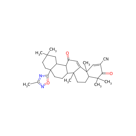 Cc1noc(C23CCC4C(C(=O)C=C5C6(C)C=C(C#N)C(=O)C(C)(C)C6CCC54C)C2CC(C)(C)CC3)n1